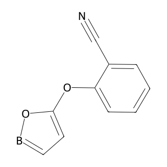 N#Cc1ccccc1Oc1ccbo1